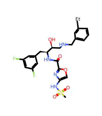 CCc1cccc(CNC[C@H](O)[C@H](Cc2cc(F)cc(F)c2)NC(=O)c2nc(NS(C)(=O)=O)co2)c1